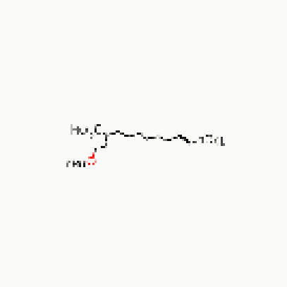 CCCCCCCCC=CCCCCCCC(CCOCCCC)C(=O)O